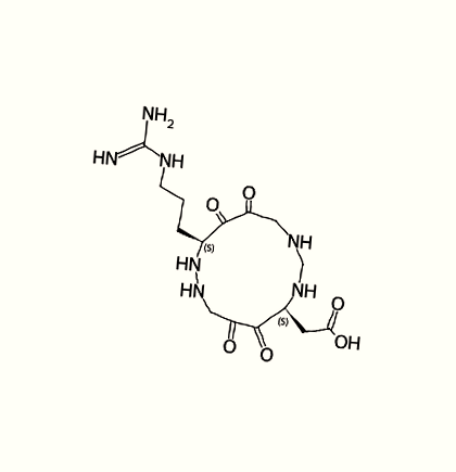 N=C(N)NCCC[C@@H]1NNCC(=O)C(=O)[C@H](CC(=O)O)NCNCC(=O)C1=O